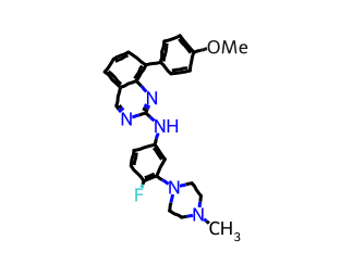 COc1ccc(-c2cccc3cnc(Nc4ccc(F)c(N5CCN(C)CC5)c4)nc23)cc1